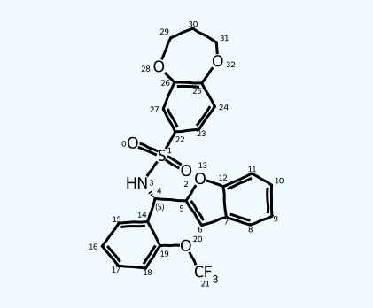 O=S(=O)(N[C@H](c1cc2ccccc2o1)c1ccccc1OC(F)(F)F)c1ccc2c(c1)OCCCO2